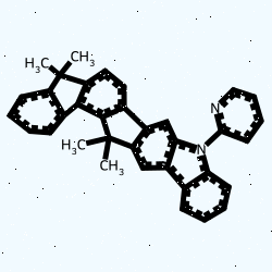 CC1(C)c2ccccc2-c2c1ccc1c2C(C)(C)c2cc3c4ccccc4n(-c4ccccn4)c3cc2-1